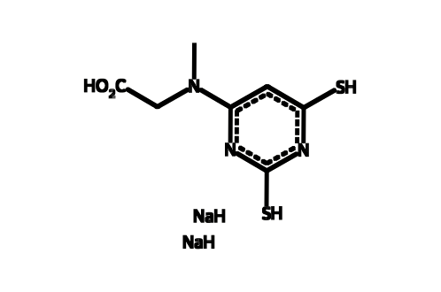 CN(CC(=O)O)c1cc(S)nc(S)n1.[NaH].[NaH]